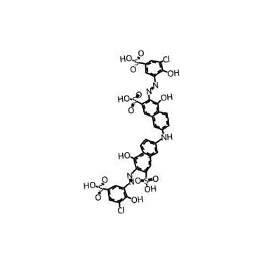 O=S(=O)(O)c1cc(Cl)c(O)c(N=Nc2c(S(=O)(=O)O)cc3cc(Nc4ccc5c(O)c(N=Nc6cc(S(=O)(=O)O)cc(Cl)c6O)c(S(=O)(=O)O)cc5c4)ccc3c2O)c1